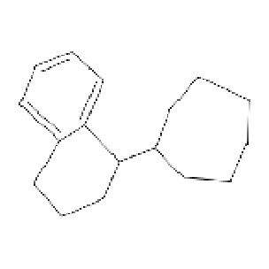 c1ccc2c(c1)CCCC2C1CCCCCC1